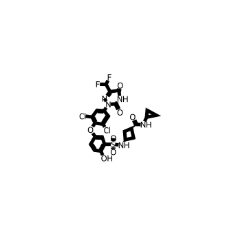 O=c1[nH]c(=O)n(-c2cc(Cl)c(Oc3ccc(O)c(S(=O)(=O)N[C@H]4C[C@H](C(=O)NC5CC5)C4)c3)c(Cl)c2)nc1C(F)F